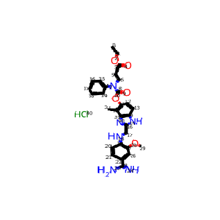 CCOC(=O)CCN(C(=O)Oc1ccc2[nH]c(CNc3ccc(C(=N)N)cc3OC)nc2c1C)c1ccccc1.Cl